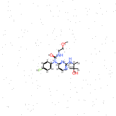 COCCNC(=O)N(c1ccc(F)cc1)c1ccnc(NC(C)C(C)(C)O)n1